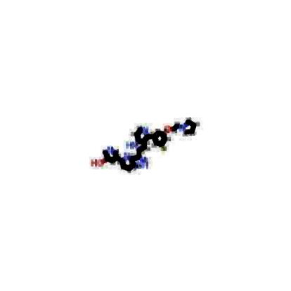 Oc1cncc(-c2ccc3[nH]nc(-c4cc5c(-c6cc(F)cc(OCCN7CCCC7)c6)nccc5[nH]4)c3n2)c1